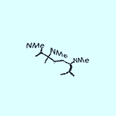 CNC(C[CH]C(C)(NC)C(C)NC)=C(C)C